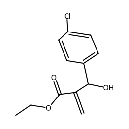 C=C(C(=O)OCC)C(O)c1ccc(Cl)cc1